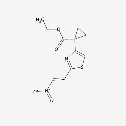 CCOC(=O)C1(c2csc(C=C[N+](=O)[O-])n2)CC1